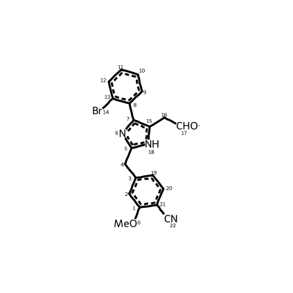 COc1cc(Cc2nc(-c3ccccc3Br)c(C[C]=O)[nH]2)ccc1C#N